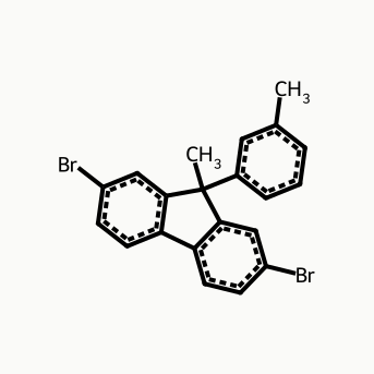 Cc1cccc(C2(C)c3cc(Br)ccc3-c3ccc(Br)cc32)c1